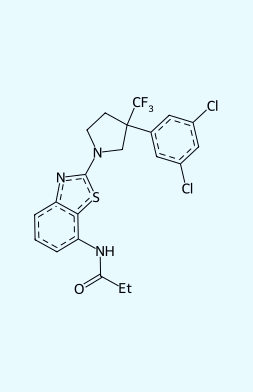 CCC(=O)Nc1cccc2nc(N3CCC(c4cc(Cl)cc(Cl)c4)(C(F)(F)F)C3)sc12